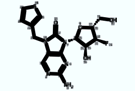 Nc1ncc2c(n1)n([C@@H]1O[C@H](CO)[C@@H](F)[C@H]1O)c(=O)n2Cc1ccsc1